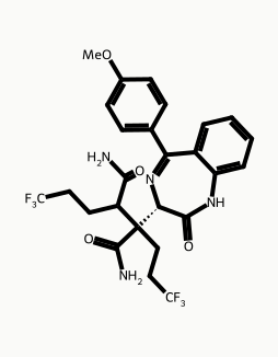 COc1ccc(C2=N[C@@H](C(CCC(F)(F)F)(C(N)=O)C(CCC(F)(F)F)C(N)=O)C(=O)Nc3ccccc32)cc1